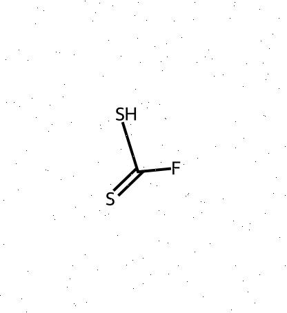 FC(=S)S